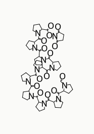 O=CN1CCCC1C(=O)N1CCCC1C(=O)N1CCCC1C(=O)N1CCCC1C(=O)N1CCCC1C(=O)N1CCCC1C(=O)N1CCCC1C(=O)N1CCCC1C(=O)N1CCCC1C(=O)N1CCCC1C(=O)ON1C(=O)CCC1=O